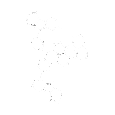 Fc1ccc2c3ccccc3n(-c3cccc(N(c4ccc(-c5cccc6c5oc5ccccc56)cc4)c4ccc(-c5cccc6cccc(-c7ccccc7)c56)cc4)c3)c2c1